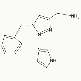 NCc1cn(Cc2ccccc2)nn1.c1c[nH]cn1